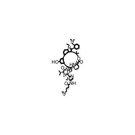 CCn1c(-c2ccccc2CN(C)C)c2c3cc(ccc31)-c1cc(O)cc(c1)C[C@H](NC(=O)[C@@H](C(C)C)N(C)C(=O)c1ncc(NC(=O)/C=C/CN(C)C)n1C)C(=O)N1CCC[C@H](N1)C(=O)OCC(C)(C)C2